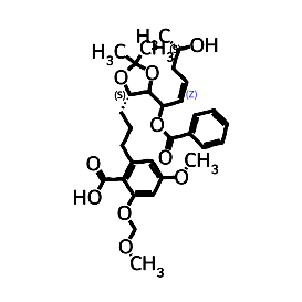 COCOc1cc(OC)cc(CCC[C@@H]2OC(C)(C)OC2C(/C=C\C[C@H](C)O)OC(=O)c2ccccc2)c1C(=O)O